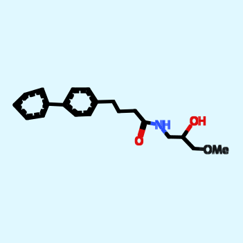 COCC(O)CNC(=O)CCCc1ccc(-c2ccccc2)cc1